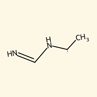 C[CH]NC=N